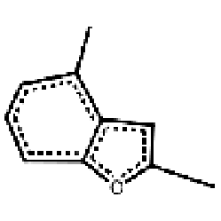 Cc1cc2c(C)cccc2o1